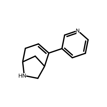 C1=C(c2cccnc2)C2CNC(C1)C2